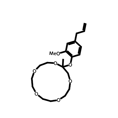 C=CCc1ccc(OC2(C)COCCOCCOCCOCCO2)c(OC)c1